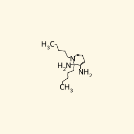 CCCCCN1C=CC=C(N)C1(N)CCCCC